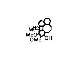 COc1c(O)c2c(c(OC)c1OC)-c1c(O)ccc3c1C(CCC3)CCC2